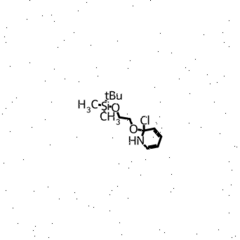 CC(C)(C)[Si](C)(C)OCCOC1(Cl)C=CC=CN1